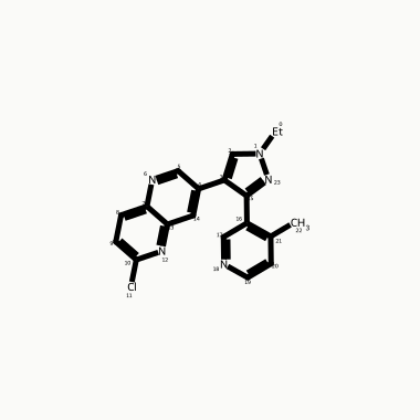 CCn1cc(-c2cnc3ccc(Cl)nc3c2)c(-c2cnccc2C)n1